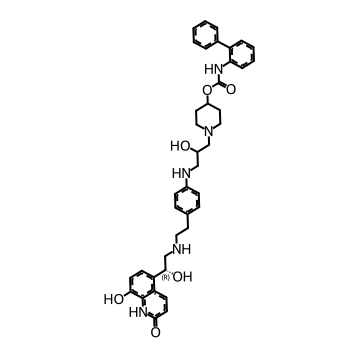 O=C(Nc1ccccc1-c1ccccc1)OC1CCN(CC(O)CNc2ccc(CCNC[C@H](O)c3ccc(O)c4[nH]c(=O)ccc34)cc2)CC1